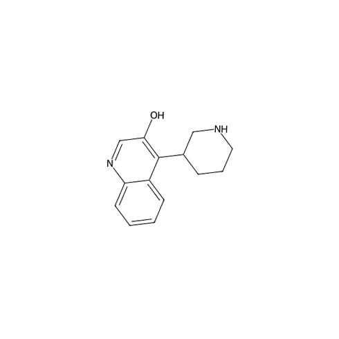 Oc1cnc2ccccc2c1C1CCCNC1